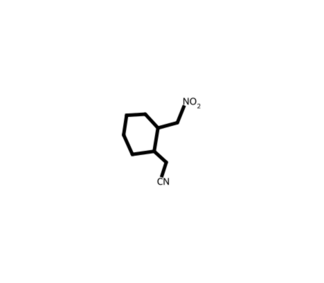 N#CCC1CCCCC1C[N+](=O)[O-]